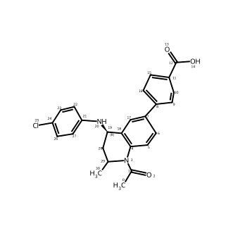 CC(=O)N1c2ccc(-c3ccc(C(=O)O)cc3)cc2[C@H](Nc2ccc(Cl)cc2)CC1C